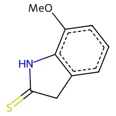 COc1cccc2c1NC(=S)C2